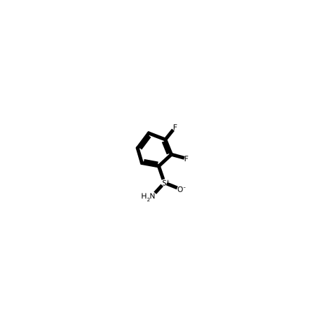 N[S+]([O-])c1cccc(F)c1F